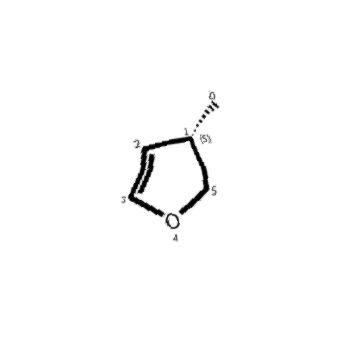 C[C@H]1C=COC1